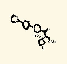 COCC(C(=O)N1CCN(c2ccc(-c3ncccn3)cc2)CC1)C1(C(=O)O)CCNC1